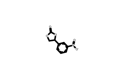 O=C1OCC(c2cccc([N+](=O)[O-])c2)O1